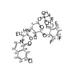 CC[C@@H](C(=O)NC(CC(=O)OC(C)(C)CF)C(=O)COc1c(F)c(F)cc(F)c1F)n1ccc2ccc(Cl)cc2c1=O